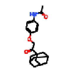 CC(=O)Nc1ccc(OCC(=O)C23CC4CC(CC(C4)C2)C3)cc1